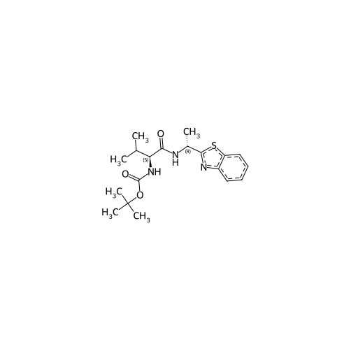 CC(C)[C@H](NC(=O)OC(C)(C)C)C(=O)N[C@H](C)c1nc2ccccc2s1